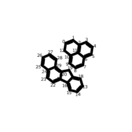 C1=Cc2cccc3cccc(c23)C1.c1ccc2c(c1)Cc1c-2ccc2ccccc12